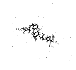 CNC(=O)c1ccc2nccc(Oc3cc(F)c(CC(=O)Nc4cnn(C(C)(C)C)c4)cc3C)c2c1